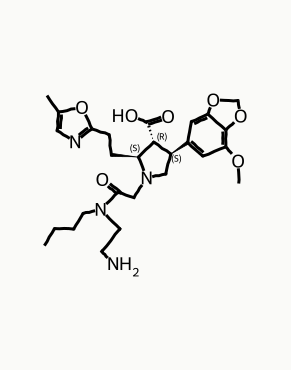 CCCCN(CCN)C(=O)CN1C[C@H](c2cc(OC)c3c(c2)OCO3)[C@@H](C(=O)O)[C@@H]1CCc1ncc(C)o1